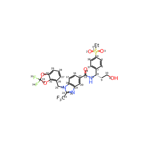 CCS(=O)(=O)c1ccc([C@H](CCO)NC(=O)c2ccc3c(c2)nc(C(F)(F)F)n3Cc2cccc3c2OC(F)(F)O3)cc1